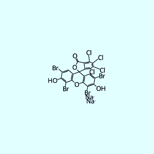 O=C1OC2(c3cc(Br)c(O)c(Br)c3Oc3c2cc(Br)c(O)c3Br)c2c(Cl)c(Cl)c(Cl)c(Cl)c21.[Na].[Na]